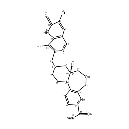 CCc1cc2cnc(CN3CCN4c5ccc(C(=O)NC)nc5COC[C@H]4C3)c(F)c2[nH]c1=O